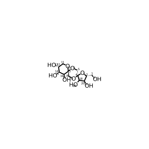 OC[C@H]1O[C@@]2(CO[C@@]3(CO2)OC[C@@H](O)[C@H](O)C3O)C(O)C1O